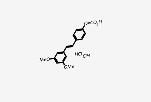 COc1cc(C=Cc2ccc(OC(=O)O)cc2)cc(OC)c1.Cl.Cl